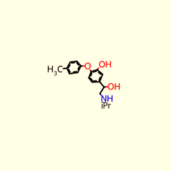 Cc1ccc(Oc2ccc(C(O)CNC(C)C)cc2O)cc1